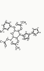 CC(=O)OCC1OC(Sc2cncc(Br)c2)C(OC(C)=O)C(n2cc(-c3cccs3)nn2)C1OC(C)=O